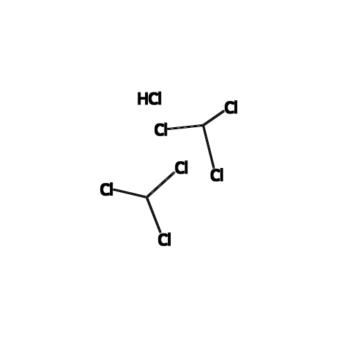 Cl.ClC(Cl)Cl.ClC(Cl)Cl